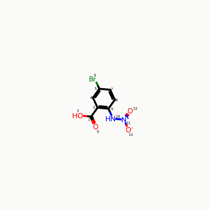 O=C(O)c1cc(Br)ccc1N[N+](=O)[O-]